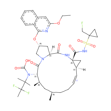 CCOc1cc2ccccc2c(O[C@@H]2C[C@H]3C(=O)N[C@]4(C(=O)NS(=O)(=O)C5(CF)CC5)C[C@H]4/C=C\CC[C@@H](C)C[C@@H](C)[C@H](N(C(=O)O)C(C)(C)C(C)(F)F)C(=O)N3C2)n1